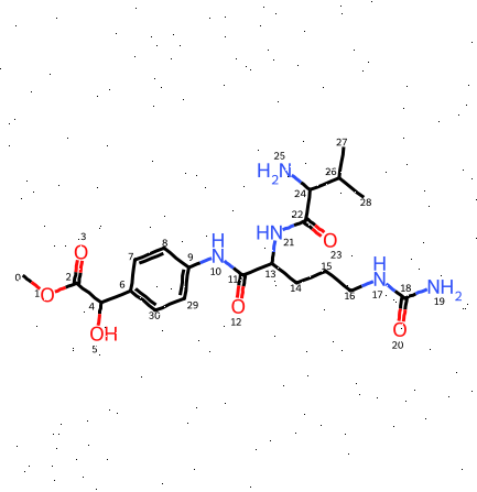 COC(=O)C(O)c1ccc(NC(=O)C(CCCNC(N)=O)NC(=O)C(N)C(C)C)cc1